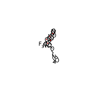 N#Cc1cnn2cc(OCCCN3CCOC4(CC4)C3)cc(-c3ccc(N4CC5CC(C4)N5C(=O)Cc4ccc(OC(F)(F)F)cc4)nc3)c12